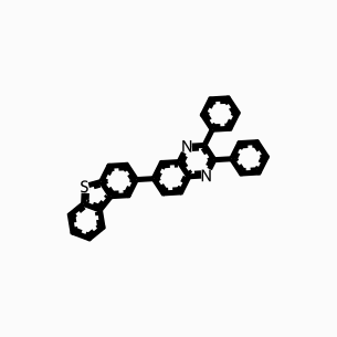 c1ccc(-c2nc3ccc(-c4ccc5sc6ccccc6c5c4)cc3nc2-c2ccccc2)cc1